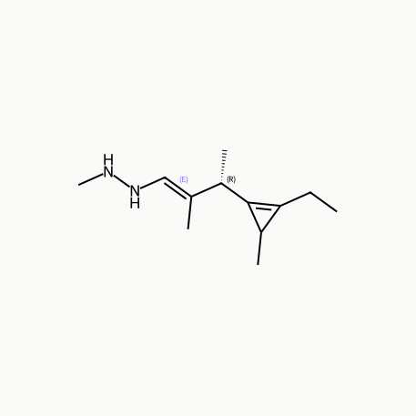 CCC1=C([C@@H](C)/C(C)=C/NNC)C1C